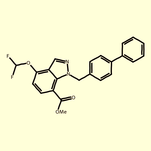 COC(=O)c1ccc(OC(F)F)c2cnn(Cc3ccc(-c4ccccc4)cc3)c12